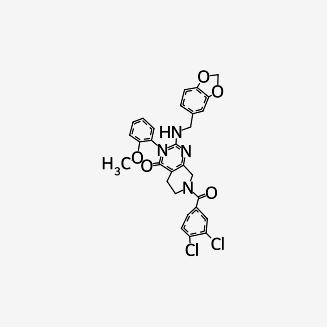 COc1ccccc1-n1c(NCc2ccc3c(c2)OCO3)nc2c(c1=O)CCN(C(=O)c1ccc(Cl)c(Cl)c1)C2